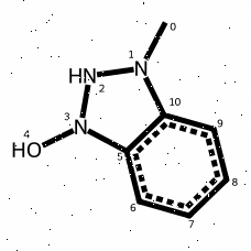 CN1NN(O)c2ccccc21